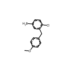 Bc1ccc(Cl)c(Cc2ccc(OC)cc2)c1